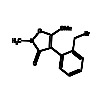 COc1on(C)c(=O)c1-c1ccccc1CBr